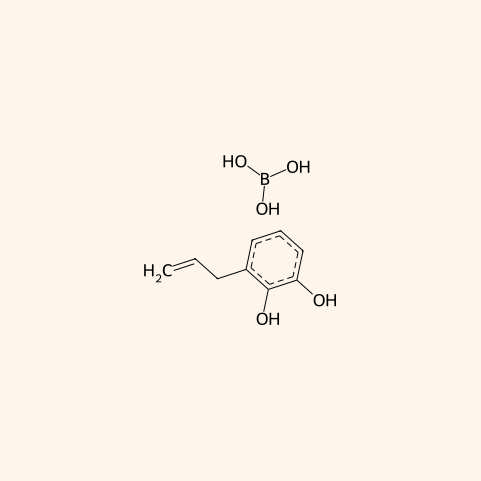 C=CCc1cccc(O)c1O.OB(O)O